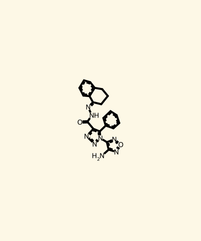 Nc1nonc1-n1nnc(C(=O)NN=C2CCCc3ccccc32)c1-c1ccccc1